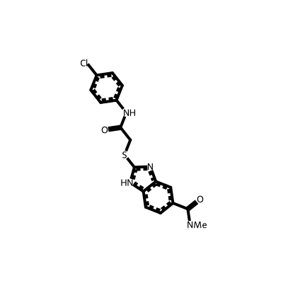 CNC(=O)c1ccc2[nH]c(SCC(=O)Nc3ccc(Cl)cc3)nc2c1